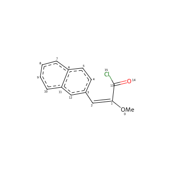 CO/C(=C/c1ccc2ccccc2c1)C(=O)Cl